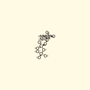 [NH4+].[NH4+].[NH4+].[O]=[Cr](=[O])([O-])[O][Cr](=[O])(=[O])[O-].[O]=[V](=[O])[O-]